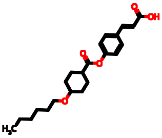 CCCCCCOC1CCC(C(=O)Oc2ccc(/C=C/C(=O)O)cc2)CC1